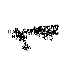 CC[C@H](C)[C@@H]([C@@H](CC(=O)N1CCC[C@H]1[C@H](OC)[C@@H](C)C(=S)N[C@@H](Cc1ccccc1)C(=O)O)OC)N(C)C(=O)[C@@H](NC(=O)C(C)(C)N(C)C(=O)OCc1ccc(NC(=O)[C@H](CCCNC(N)=O)NC(=O)[C@@H](NC(=O)CCCCCN2C(=O)C=CC2=O)C(C)C)cc1)C(C)C